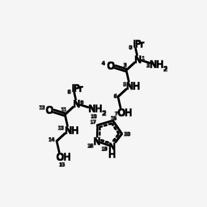 CC(C)N(N)C(=O)NCO.CC(C)N(N)C(=O)NCO.c1cn[nH]c1